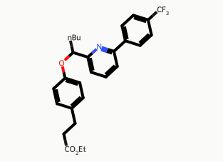 CCCCC(Oc1ccc(CCC(=O)OCC)cc1)c1cccc(-c2ccc(C(F)(F)F)cc2)n1